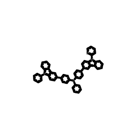 c1ccc(N(c2ccc(-c3ccc4c(c3)c3ccccc3n4-c3ccccc3)cc2)c2ccc(-c3ccc4c(c3)c3ccccc3n4-c3ccccn3)cc2)cc1